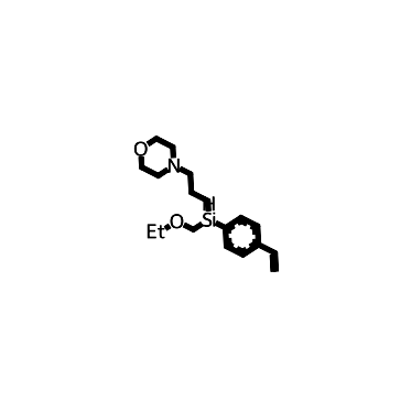 C=Cc1ccc([SiH](CCCN2CCOCC2)COCC)cc1